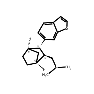 CN(C)C[C@H]1[C@H]2CC[C@H](C2)[C@@H]1c1ccc2ccsc2c1